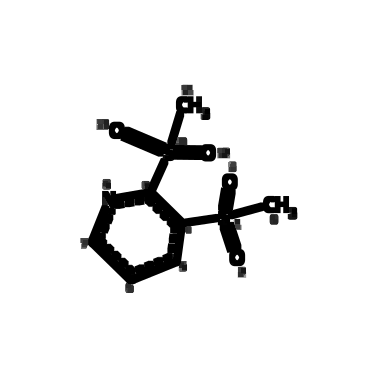 CS(=O)(=O)c1cccnc1S(C)(=O)=O